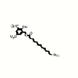 CCCCCCCCCCCCCCCCCCCCCC(=O)OCc1cc([N+](=O)[O-])cc(C=O)c1O